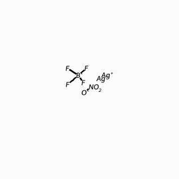 F[B-](F)(F)F.O=[N+]([O-])[O-].[Ag+].[Ag+]